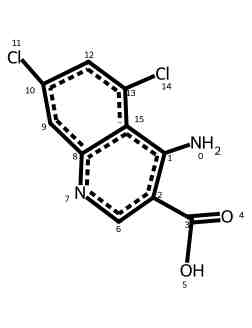 Nc1c(C(=O)O)cnc2cc(Cl)cc(Cl)c12